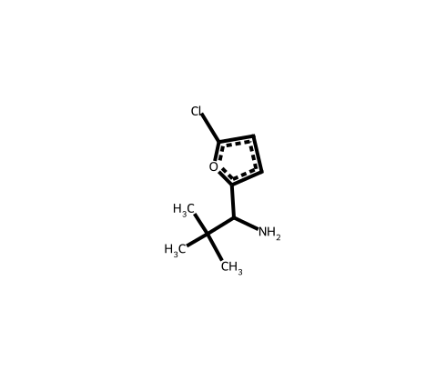 CC(C)(C)C(N)c1ccc(Cl)o1